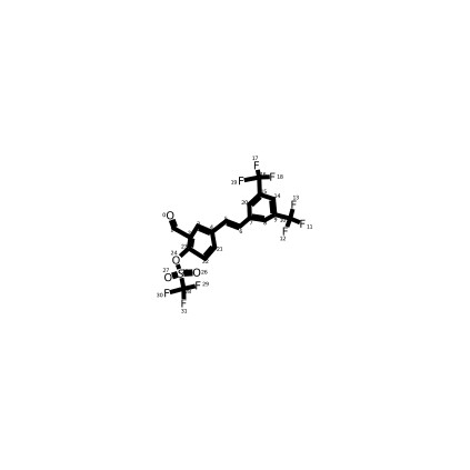 O=Cc1cc(/C=C/c2cc(C(F)(F)F)cc(C(F)(F)F)c2)ccc1OS(=O)(=O)C(F)(F)F